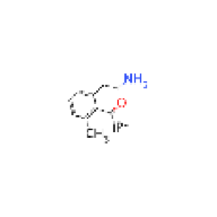 Cc1cccc(CCN)c1C(=O)C(C)C